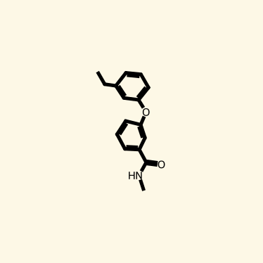 CCc1cccc(Oc2cccc(C(=O)NC)c2)c1